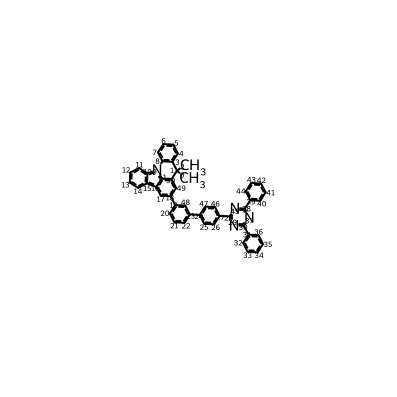 CC1(C)c2ccccc2-n2c3ccccc3c3cc(-c4cccc(-c5ccc(-c6nc(-c7ccccc7)nc(-c7ccccc7)n6)cc5)c4)cc1c32